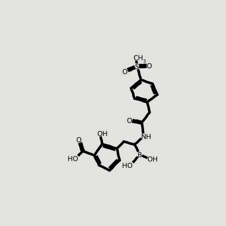 CS(=O)(=O)c1ccc(CC(=O)NC(Cc2cccc(C(=O)O)c2O)B(O)O)cc1